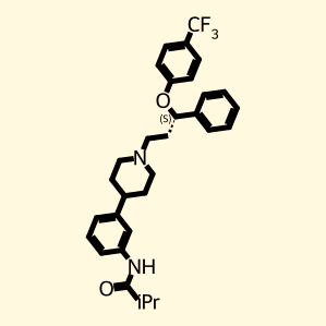 CC(C)C(=O)Nc1cccc(C2CCN(CC[C@H](Oc3ccc(C(F)(F)F)cc3)c3ccccc3)CC2)c1